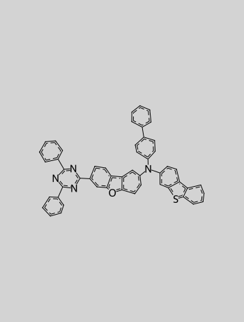 c1ccc(-c2ccc(N(c3ccc4c(c3)sc3ccccc34)c3ccc4oc5cc(-c6nc(-c7ccccc7)nc(-c7ccccc7)n6)ccc5c4c3)cc2)cc1